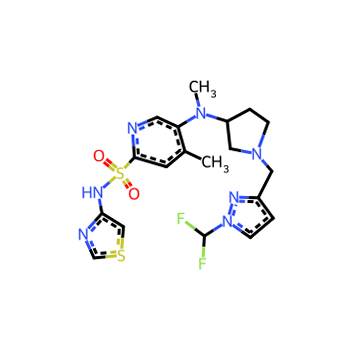 Cc1cc(S(=O)(=O)Nc2cscn2)ncc1N(C)C1CCN(Cc2ccn(C(F)F)n2)C1